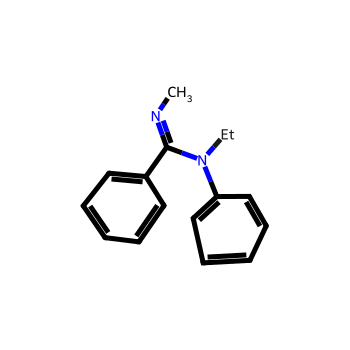 CCN(/C(=N\C)c1ccccc1)c1ccccc1